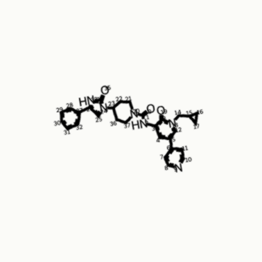 O=C(Nc1cc(-c2ccncc2)cn(CC2CC2)c1=O)N1CCC(n2cc(-c3ccccc3)[nH]c2=O)CC1